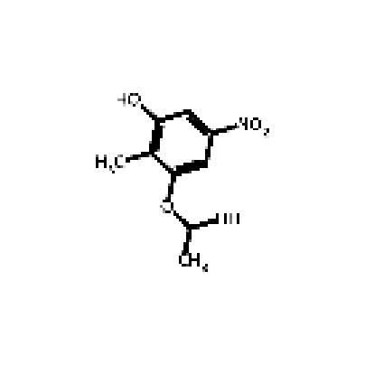 Cc1c(O)cc([N+](=O)[O-])cc1OC(C)O